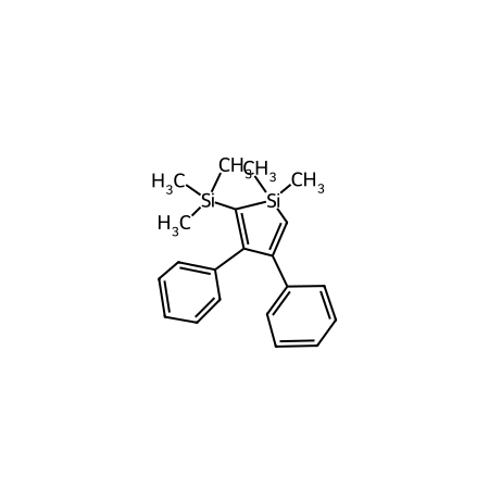 C[Si](C)(C)C1=C(c2ccccc2)C(c2ccccc2)=C[Si]1(C)C